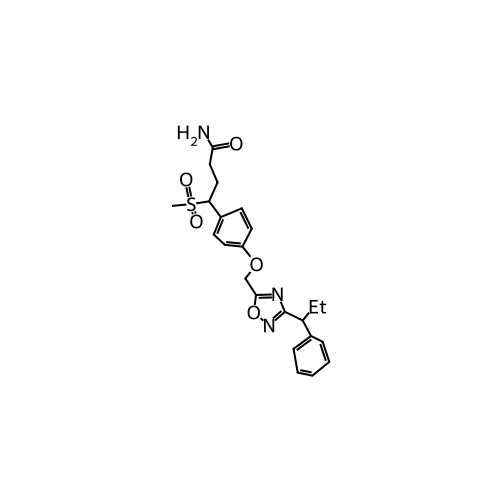 CCC(c1ccccc1)c1noc(COc2ccc(C(CCC(N)=O)S(C)(=O)=O)cc2)n1